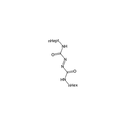 CCCCCCCNC(=O)N=NC(=O)NCCCCCC